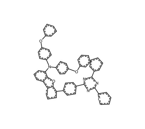 c1ccc(Oc2ccc(N(c3ccc(Oc4ccccc4)cc3)c3cccc4c3oc3c(-c5ccc(-c6nc(-c7ccccc7)nc(-c7ccccc7)n6)cc5)cccc34)cc2)cc1